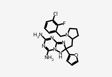 NC1=NC2=NC(CC3CCCN3Cc3cccc(Cl)c3F)(c3ccco3)NN2C(N)=N1